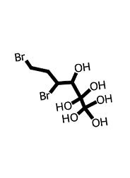 OC(C(Br)CCBr)C(O)(O)C(O)(O)O